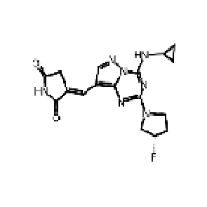 O=C1C/C(=C\c2cnn3c(NC4CC4)nc(N4CC[C@H](F)C4)nc23)C(=O)N1